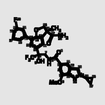 COc1cc(C(=O)NC[C@](O)(c2cc3c(c(-c4cccc(F)c4)n2)OC[C@]3(C)C(N)=O)C(F)(F)F)cc2cn(C3CC3)nc12